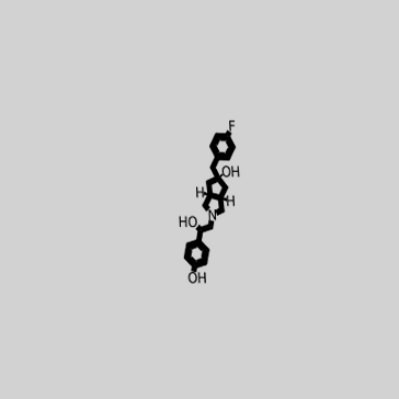 Oc1ccc(C(O)CN2C[C@@H]3C[C@@](O)(Cc4ccc(F)cc4)C[C@@H]3C2)cc1